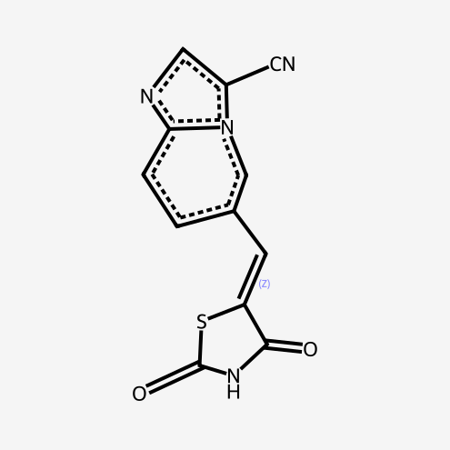 N#Cc1cnc2ccc(/C=C3\SC(=O)NC3=O)cn12